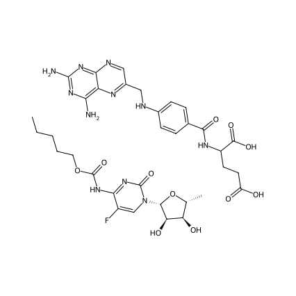 CCCCCOC(=O)Nc1nc(=O)n([C@@H]2O[C@H](C)[C@@H](O)[C@H]2O)cc1F.Nc1nc(N)c2nc(CNc3ccc(C(=O)NC(CCC(=O)O)C(=O)O)cc3)cnc2n1